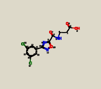 O=C(O)CCNC(=O)c1nc(-c2cc(Cl)cc(Cl)c2)no1